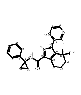 O=C(NC1(c2ccccc2)CC1)c1nn(-c2cnccn2)c2c1CCCC2(F)F